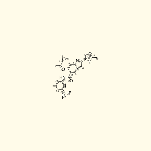 C[C@H](Oc1cc2nc(C34COC(C)(C3)C4)cn2cc1C(=O)Nc1cccc(C(F)F)n1)C1CC1